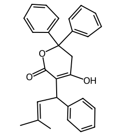 CC(C)=CC(C1=C(O)CC(c2ccccc2)(c2ccccc2)OC1=O)c1ccccc1